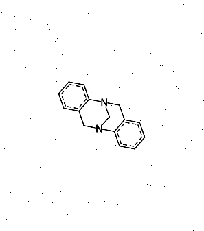 c1ccc2c(c1)CN1CN2Cc2ccccc21